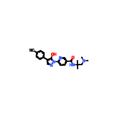 CN(C)CC(C)(C)NC(=O)c1ccc(-n2ncc(-c3ccc(C#N)cc3)c2O)nc1